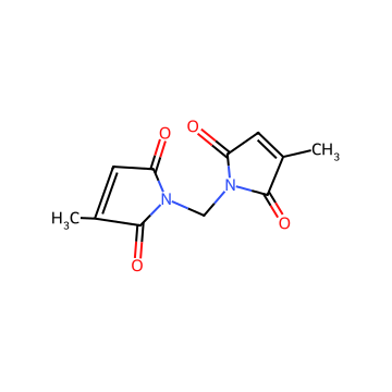 CC1=CC(=O)N(CN2C(=O)C=C(C)C2=O)C1=O